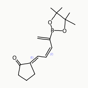 C=C(/C=C\C=C1/CCCC1=O)B1OC(C)(C)C(C)(C)O1